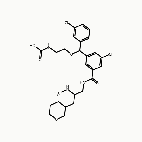 CNC(CNC(=O)c1cc(Cl)cc(C(OCCNC(=O)O)c2cccc(Cl)c2)c1)CC1CCCOC1